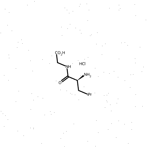 CC(C)C[C@H](N)C(=O)NCC(=O)O.Cl